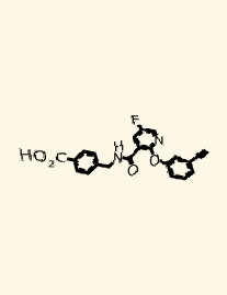 C#Cc1cccc(Oc2ncc(F)cc2C(=O)NCc2ccc(C(=O)O)cc2)c1